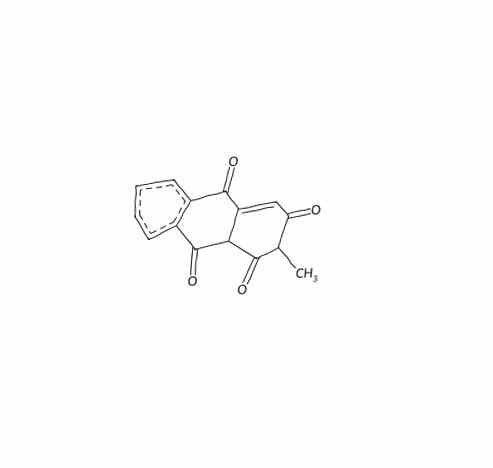 CC1C(=O)C=C2C(=O)c3ccccc3C(=O)C2C1=O